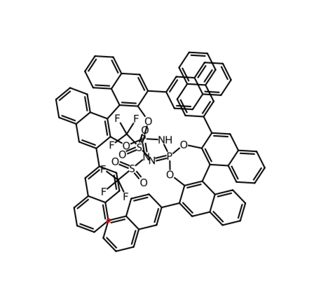 O=S(=O)(N=P1(NP2(=NS(=O)(=O)C(F)(F)F)Oc3c(-c4ccc5ccccc5c4)cc4ccccc4c3-c3c(c(-c4ccc5ccccc5c4)cc4ccccc34)O2)Oc2c(-c3ccc4ccccc4c3)cc3ccccc3c2-c2c(c(-c3ccc4ccccc4c3)cc3ccccc23)O1)C(F)(F)F